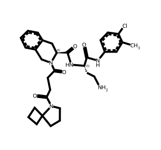 Cc1cc(NC(=O)[C@H](CCN)NC(=O)[C@@H]2Cc3ccccc3CN2C(=O)CCC(=O)N2CCCC23CCC3)ccc1Cl